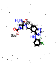 CCN(Cc1cc2c(Nc3cccc(Cl)c3F)ncnc2cc1OC)C1(C(N)=O)CN(C(=O)OC(C)(C)C)C1